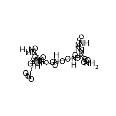 CC(C)C(NC(=O)CCCCCN1C(=O)C=CC1=O)C(=O)N[C@H](CCCNC(N)=O)C(=O)Nc1ccc(COC(=O)NCCOCCOCCNC(=O)O[C@H]2C[C@H](n3ccc4c(N[C@H]5CCc6ccccc65)ncnc43)C[C@H]2COS(N)(=O)=O)cc1